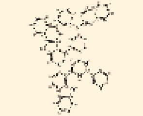 c1ccc(-c2nc(-c3ccc(-n4c5ccccc5c5cc6ccccc6cc54)cc3-c3cccc4sc5c6ccccc6ccc5c34)nc(-c3cccc4c3oc3ccccc34)n2)cc1